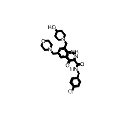 O=C(NCc1ccc(Cl)cc1)c1n[nH]c2c(CN3CCC(O)CC3)cc(CN3CCOCC3)cc2c1=O